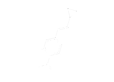 O=[N+]([O-])c1ccc(C=CC2CC2)cc1